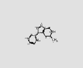 CC1Cc2c(nnn2-c2cnccn2)CN1